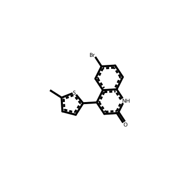 Cc1ccc(-c2cc(=O)[nH]c3ccc(Br)cc23)s1